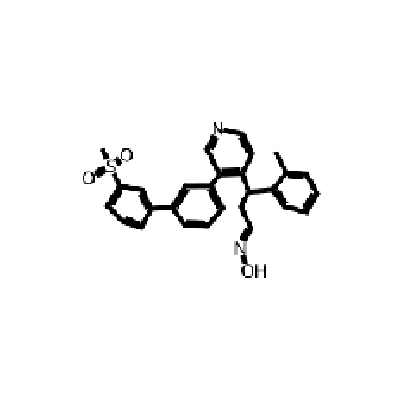 Cc1ccccc1C(CC=NO)c1ccncc1-c1cccc(-c2cccc(S(C)(=O)=O)c2)c1